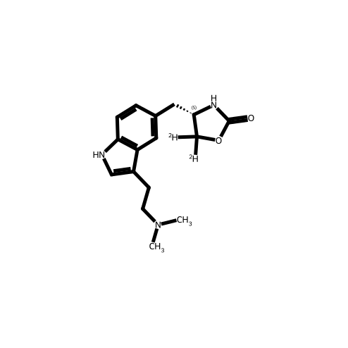 [2H]C1([2H])OC(=O)N[C@H]1Cc1ccc2[nH]cc(CCN(C)C)c2c1